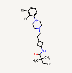 CCc1cccc(N2CCN(CCC3CC(NC(=O)C(C)(C)CC(C)C)C3)CC2)c1CC